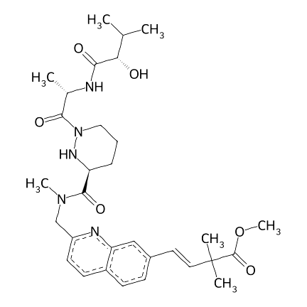 COC(=O)C(C)(C)/C=C/c1ccc2ccc(CN(C)C(=O)[C@@H]3CCCN(C(=O)[C@H](C)NC(=O)[C@@H](O)C(C)C)N3)nc2c1